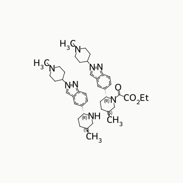 CCOC(=O)C(=O)N1C[C@@H](C)CC[C@@H]1c1ccc2nn(C3CCN(C)CC3)cc2c1.C[C@H]1CC[C@H](c2ccc3nn(C4CCN(C)CC4)cc3c2)NC1